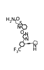 NC(=O)Cc1nc2c(Oc3cc(-c4ccc(C(F)(F)F)cc4C#CC4CCCN4)ncn3)cccc2s1